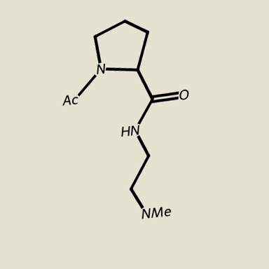 CNCCNC(=O)C1CCCN1C(C)=O